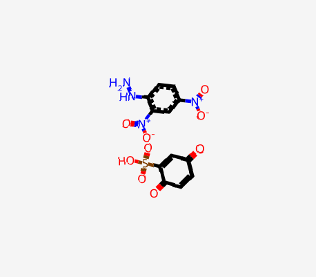 NNc1ccc([N+](=O)[O-])cc1[N+](=O)[O-].O=C1C=CC(=O)C(S(=O)(=O)O)=C1